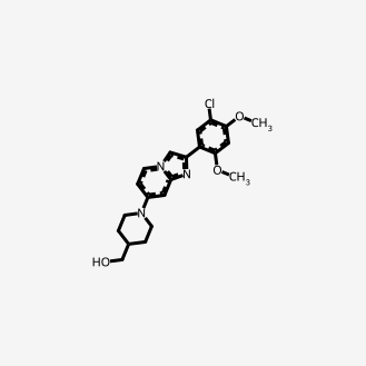 COc1cc(OC)c(-c2cn3ccc(N4CCC(CO)CC4)cc3n2)cc1Cl